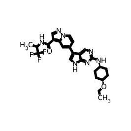 CCO[C@H]1CC[C@@H](Nc2ncc3c(-c4ccn5ncc(C(=O)NC(C)C(F)(F)F)c5c4)c[nH]c3n2)CC1